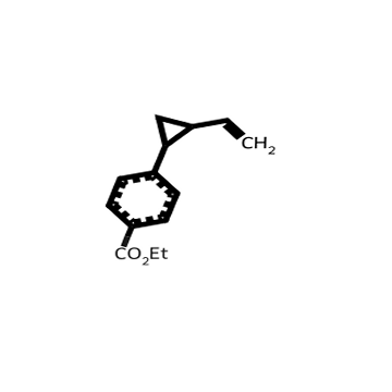 C=CC1CC1c1ccc(C(=O)OCC)cc1